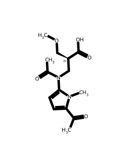 COC[C@H](CN(C(C)=O)c1ccc(C(C)=O)n1C)C(=O)O